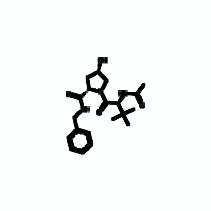 CC(=O)N[C@H](C(=O)N1C[C@H](O)C[C@H]1C(=O)NCc1ccccc1)C(C)(C)C